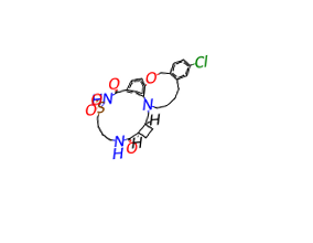 O=C1NS(=O)(=O)CCCCNC(=O)[C@@H]2CC[C@H]2CN2CCCCc3cc(Cl)ccc3COc3ccc1cc32